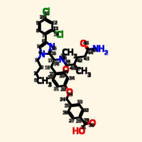 CCCCn1cc(-c2ccc(Cl)cc2Cl)nc1[C@H](Cc1ccc(OCc2ccc(C(=O)O)cc2)cc1)N(C)C(=O)C(C)CCC(N)=O